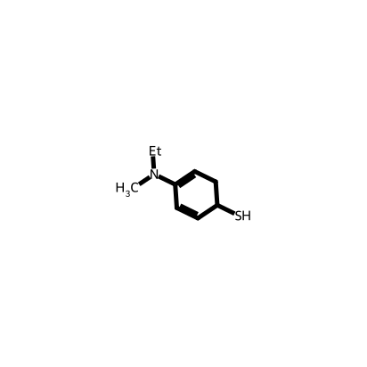 CCN(C)C1=CCC(S)C=C1